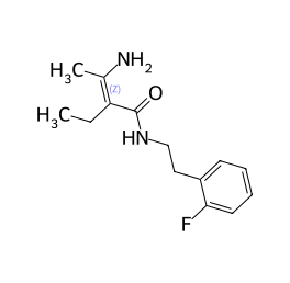 CC/C(C(=O)NCCc1ccccc1F)=C(\C)N